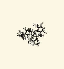 [2H]c1c(C)cc(C)c(NC(=O)c2sccc2S(=O)(=O)Nc2onc(C)c2C([2H])([2H])[2H])c1C(C)=O